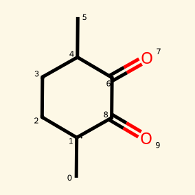 C[C]1CCC(C)C(=O)C1=O